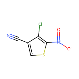 N#Cc1csc([N+](=O)[O-])c1Cl